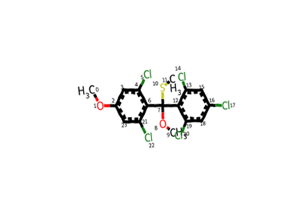 COc1cc(Cl)c(C(OC)(SC)c2c(Cl)cc(Cl)cc2Cl)c(Cl)c1